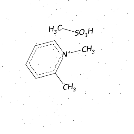 CS(=O)(=O)O.Cc1cccc[n+]1C